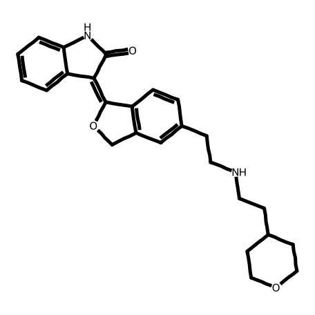 O=C1Nc2ccccc2C1=C1OCc2cc(CCNCCC3CCOCC3)ccc21